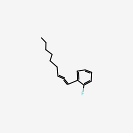 CCCCCCC=C=Cc1ccccc1F